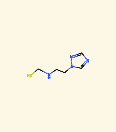 SCNCCn1cncn1